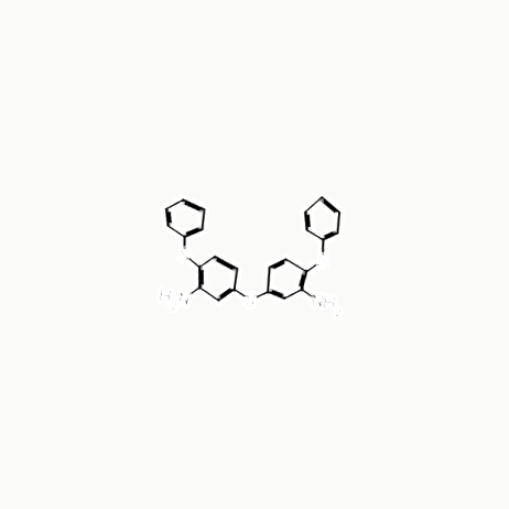 Nc1cc(Sc2ccc(Sc3ccccc3)c(N)c2)ccc1Sc1ccccc1